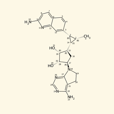 C[C@H]1[C@@H](c2ccc3ccc(N)nc3c2)[C@H]1[C@H]1C[C@@H](N2CCc3c(N)ncnc32)[C@H](O)[C@@H]1O